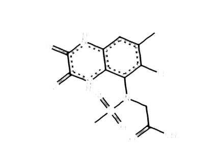 Cc1cc2[nH]c(=O)c(=O)[nH]c2c(N(CC(=O)O)S(C)(=O)=O)c1Cl